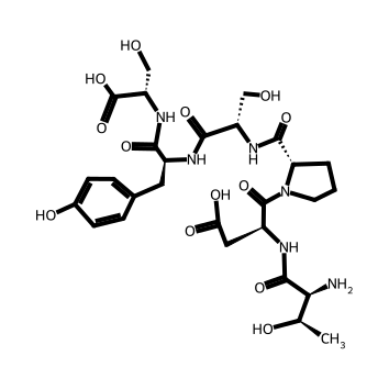 C[C@@H](O)[C@H](N)C(=O)N[C@@H](CC(=O)O)C(=O)N1CCC[C@H]1C(=O)N[C@@H](CO)C(=O)N[C@@H](Cc1ccc(O)cc1)C(=O)N[C@@H](CO)C(=O)O